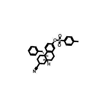 Cc1ccc(S(=O)(=O)Oc2ccc3c(c2)CC[C@@H]2CC(C#N)CC[C@@]32Cc2ccccc2)cc1